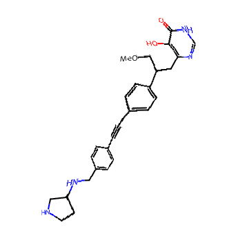 COCC(Cc1nc[nH]c(=O)c1O)c1ccc(C#Cc2ccc(CNC3CCNC3)cc2)cc1